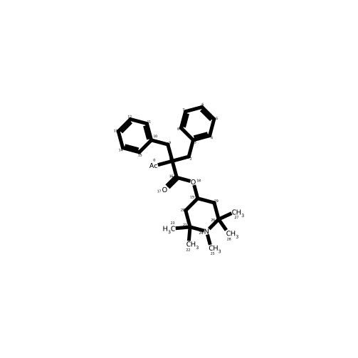 CC(=O)C(Cc1ccccc1)(Cc1ccccc1)C(=O)OC1CC(C)(C)N(C)C(C)(C)C1